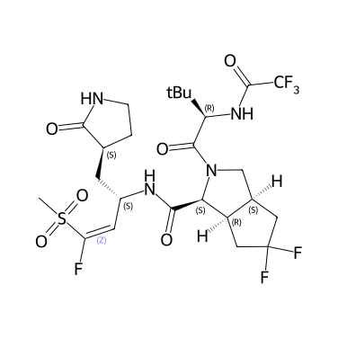 CC(C)(C)[C@@H](NC(=O)C(F)(F)F)C(=O)N1C[C@H]2CC(F)(F)C[C@H]2[C@H]1C(=O)N[C@H](/C=C(/F)S(C)(=O)=O)C[C@@H]1CCNC1=O